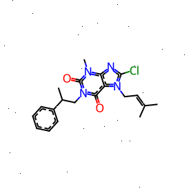 CC(C)=CCn1c(Cl)nc2c1c(=O)n(CC(C)c1ccccc1)c(=O)n2C